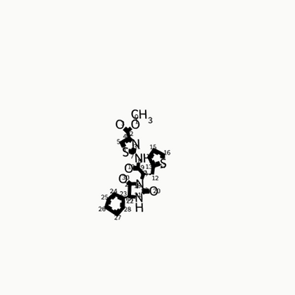 COC(=O)c1csc(NC(=O)[C@H](Cc2cccs2)N2C(=O)N[C@@H](c3ccccc3)C2=O)n1